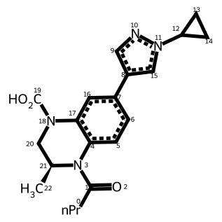 CCCC(=O)N1c2ccc(-c3cnn(C4CC4)c3)cc2N(C(=O)O)C[C@@H]1C